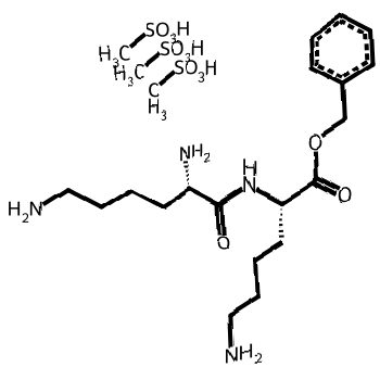 CS(=O)(=O)O.CS(=O)(=O)O.CS(=O)(=O)O.NCCCC[C@H](NC(=O)[C@@H](N)CCCCN)C(=O)OCc1ccccc1